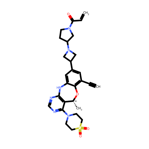 C#Cc1cc(C2CN(C3CCN(C(=O)C=C)C3)C2)cc2c1O[C@H](C)c1c(ncnc1N1CCS(=O)(=O)CC1)N2